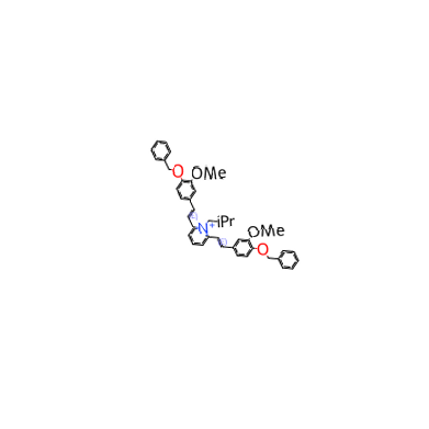 COc1cc(/C=C/c2cccc(/C=C/c3ccc(OCc4ccccc4)c(OC)c3)[n+]2CC(C)C)ccc1OCc1ccccc1